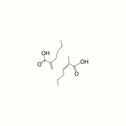 C=C(CCCC)C(=O)O.CCCC=C(C)C(=O)O